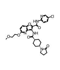 COCCOc1ccc2oc(C(=O)Nc3ccc(Cl)cn3)c(NC(=O)[C@H]3CC[C@H](N4CCCC4=O)CC3)c2n1